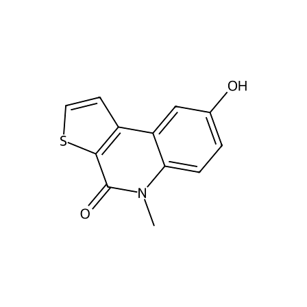 Cn1c(=O)c2sccc2c2cc(O)ccc21